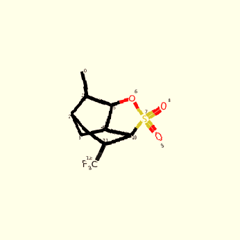 CC1C2CC3C1OS(=O)(=O)C3C2C(F)(F)F